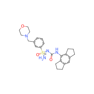 N[S@](=O)(=NC(=O)Nc1c2c(cc3c1CCC3)CCC2)c1cccc(CN2CCOCC2)c1